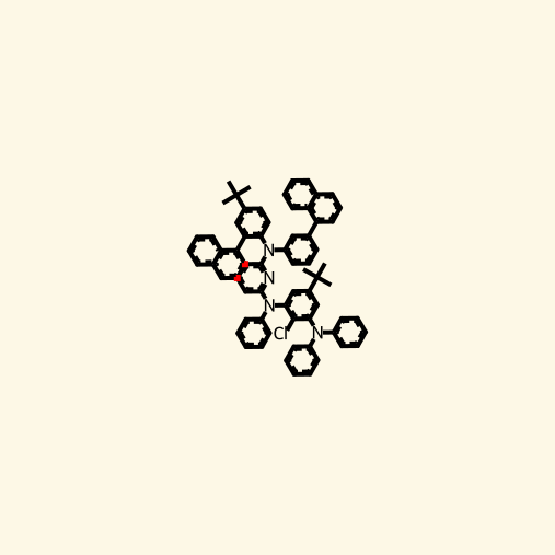 CC(C)(C)c1ccc(N(c2cccc(-c3cccc4ccccc34)c2)c2cccc(N(c3ccccc3)c3cc(C(C)(C)C)cc(N(c4ccccc4)c4ccccc4)c3Cl)n2)c(-c2cccc3ccccc23)c1